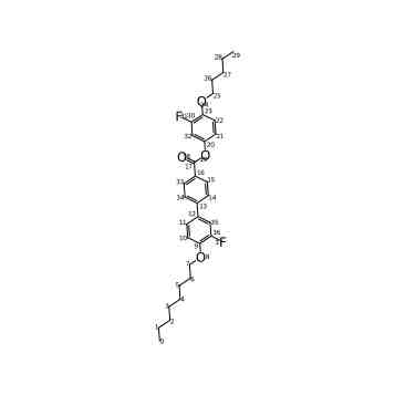 CCCCCCCCOc1ccc(-c2ccc(C(=O)Oc3ccc(OCCCCC)c(F)c3)cc2)cc1F